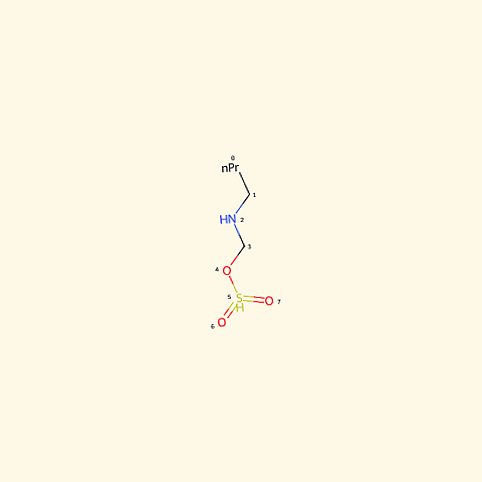 CCCCNCO[SH](=O)=O